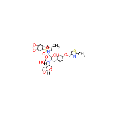 Cc1nc(COc2ccc(C[C@@H]([C@H](O)CN(CC(C)C)S(=O)(=O)c3ccc4c(c3)OCO4)N(C(=O)O)[C@H]3CO[C@H]4OCC[C@H]43)cc2)cs1